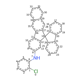 Clc1ccccc1Nc1ccc2c(c1)C1(c3ccccc3-c3ccccc31)c1cc3ccccc3cc1-2